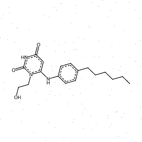 CCCCCCc1ccc(Nc2cc(=O)[nH]c(=O)n2CCO)cc1